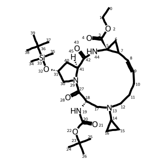 CCOC(=O)[C@@]12CC1/C=C\CCCN(C1CC1)C[C@H](NC(=O)OC(C)(C)C)C(=O)N1C[C@H](O[Si](C)(C)C(C)(C)C)C[C@H]1C(=O)N2